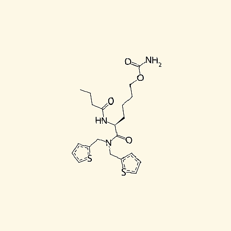 CCCC(=O)N[C@@H](CCCCOC(N)=O)C(=O)N(Cc1cccs1)Cc1cccs1